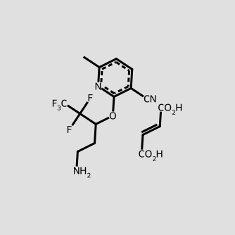 Cc1ccc(C#N)c(OC(CCN)C(F)(F)C(F)(F)F)n1.O=C(O)/C=C/C(=O)O